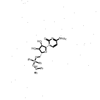 CC(=O)Nc1ccn([C@@H]2O[C@H](CO[Si](O[SiH](C(C)C)C(C)C)(C(C)C)C(C)C)C(O)[C@H]2O)c(=O)n1